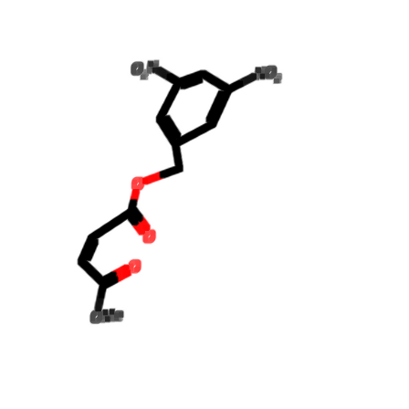 COC(=O)/C=C\C(=O)OCc1cc([N+](=O)[O-])cc([N+](=O)[O-])c1